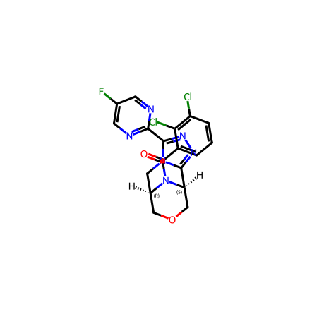 O=C(c1cccc(Cl)c1Cl)N1[C@H]2COC[C@@H]1c1nnc(-c3ncc(F)cn3)n1C2